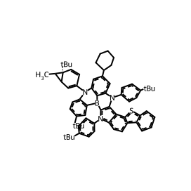 CC1C2C=C(N3c4ccc(C(C)(C)C)cc4B4c5c3cc(C3CCCCC3)cc5N(c3ccc(C(C)(C)C)cc3)c3c4n(-c4ccc(C(C)(C)C)cc4)c4ccc5c6ccccc6sc5c34)C=C[C@]12C(C)(C)C